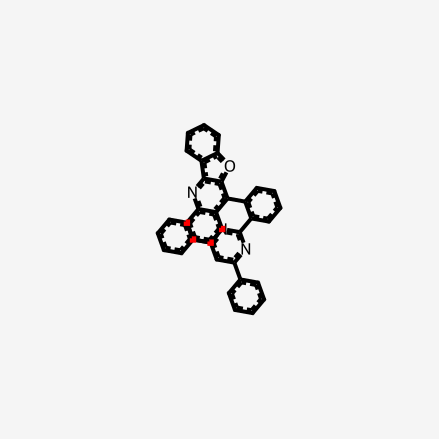 c1ccc(-c2cc(-c3ccccc3)nc(-c3ccccc3-c3c4ccccc4nc4c3oc3ccccc34)n2)cc1